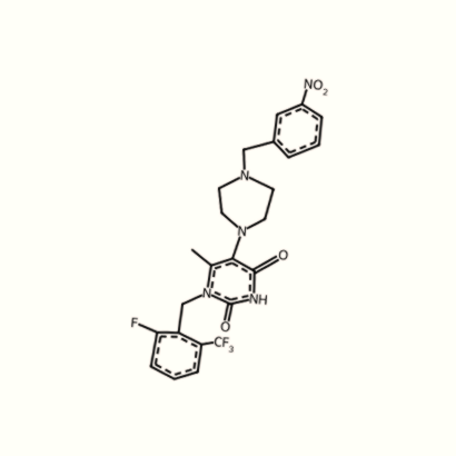 Cc1c(N2CCN(Cc3cccc([N+](=O)[O-])c3)CC2)c(=O)[nH]c(=O)n1Cc1c(F)cccc1C(F)(F)F